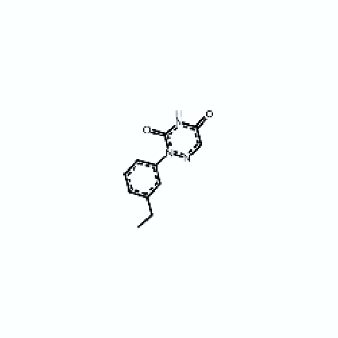 CCc1cccc(-n2ncc(=O)[nH]c2=O)c1